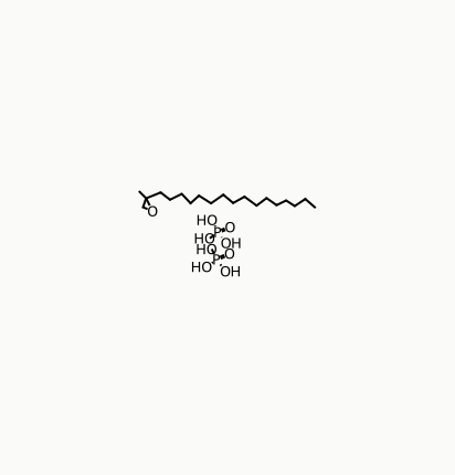 CCCCCCCCCCCCCCCCC1(C)CO1.O=P(O)(O)O.O=P(O)(O)O